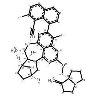 C#Cc1c(F)ccc2cccc(-c3nc4c5c(nc(OC[C@]67CCCN6CCC7=C)nc5c3F)N3C[C@H]5CC[C@H](N5)[C@H]3[C@H](C)O4)c12